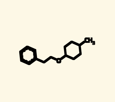 CC1CCC(OCCc2ccccc2)CC1